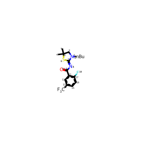 CCCCN1CC(C)(C)SC1=NC(=O)c1cc(C(F)(F)F)ccc1F